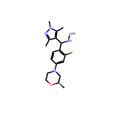 Cc1nn(C)c(C)c1C(NC=O)c1ccc(N2CCO[C@H](C)C2)cc1F